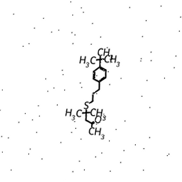 CC(=O)CC(C)(C)SCCCc1ccc(C(C)(C)C)cc1